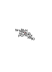 CC(=O)NCC1(C)COC(c2nc(-c3ccc(F)cc3)c(-c3ccnc(NCC#N)n3)[nH]2)OC1